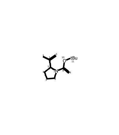 C=C(C)C1CCCN1C(=C)OC(C)(C)C